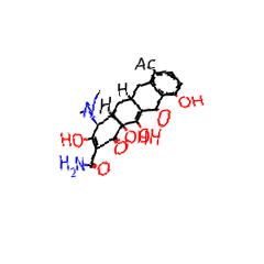 CC(=O)c1ccc(O)c2c1C[C@H]1C[C@H]3[C@H](N(C)C)C(O)=C(C(N)=O)C(=O)[C@@]3(O)C(O)=C1C2=O